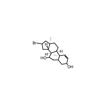 C[C@]12CC[C@@H]3[C@@H](C(O)CC4CC(O)C=C[C@@]43C)[C@@H]1CC(Br)C2